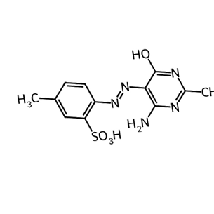 Cc1ccc(/N=N/c2c(N)nc(C)nc2O)c(S(=O)(=O)O)c1